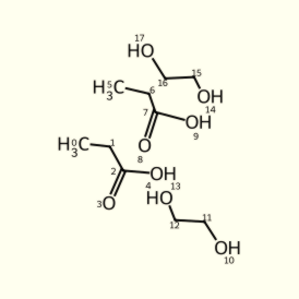 CCC(=O)O.CCC(=O)O.OCCO.OCCO